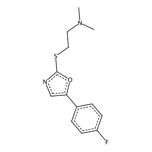 CN(C)CCSc1ncc(-c2ccc(F)cc2)o1